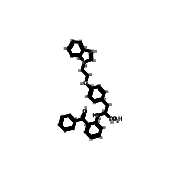 O=C(c1ccccc1)c1ccccc1NC(Cc1ccc(OCCn2cnc3ccccc32)cc1)C(=O)O